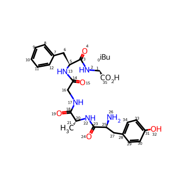 CC[C@H](C)[C@H](NC(=O)[C@H](Cc1ccccc1)NC(=O)CNC(=O)[C@@H](C)NC(=O)[C@@H](N)Cc1ccc(O)cc1)C(=O)O